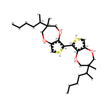 CCCCC(C)C1(C)COc2csc(-c3scc4c3OCC(C)(C(C)CCCC)CO4)c2OC1